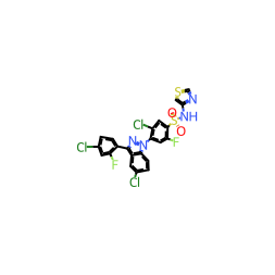 O=S(=O)(Nc1cscn1)c1cc(Cl)c(-n2nc(-c3ccc(Cl)cc3F)c3cc(Cl)ccc32)cc1F